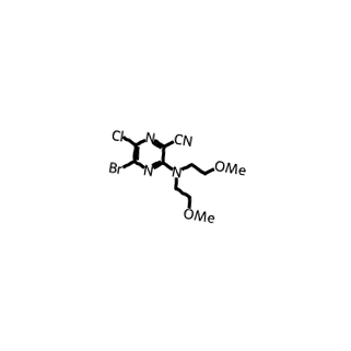 COCCN(CCOC)c1nc(Br)c(Cl)nc1C#N